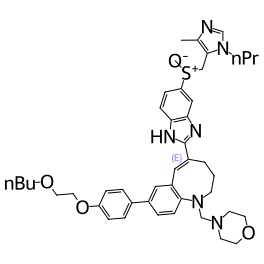 CCCCOCCOc1ccc(-c2ccc3c(c2)/C=C(/c2nc4cc([S+]([O-])Cc5c(C)ncn5CCC)ccc4[nH]2)CCCN3CN2CCOCC2)cc1